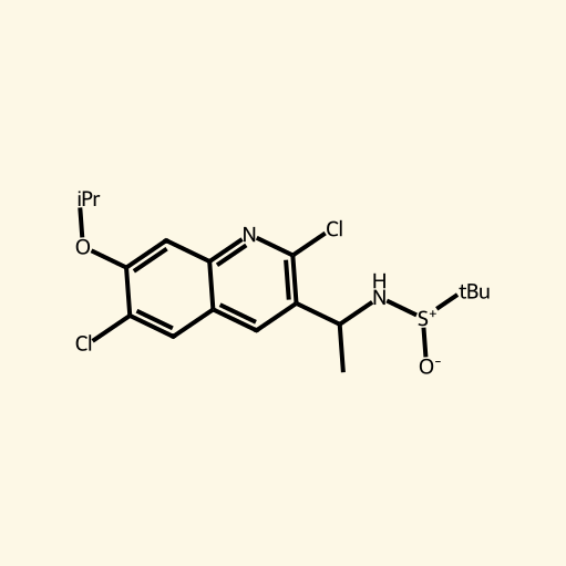 CC(C)Oc1cc2nc(Cl)c(C(C)N[S+]([O-])C(C)(C)C)cc2cc1Cl